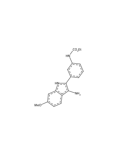 CCOC(=O)Nc1cccc(-c2[nH]c3cc(OC)ccc3c2N)c1